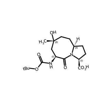 CC(C)(C)OC(=O)N[C@H]1C[C@](C)(O)CC[C@H]2CC[C@@H](C(=O)O)N2C1=O